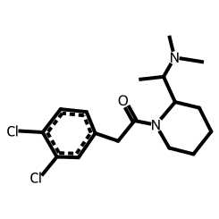 CC(C1CCCCN1C(=O)Cc1ccc(Cl)c(Cl)c1)N(C)C